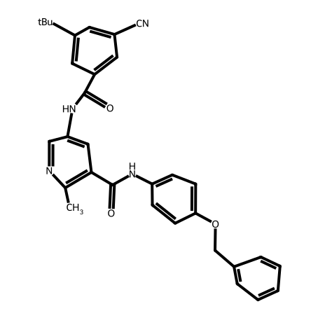 Cc1ncc(NC(=O)c2cc(C#N)cc(C(C)(C)C)c2)cc1C(=O)Nc1ccc(OCc2ccccc2)cc1